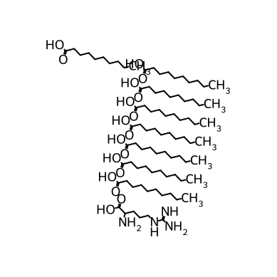 CCCCCCCCCC(=O)O.CCCCCCCCCC(=O)O.CCCCCCCCCC(=O)O.CCCCCCCCCC(=O)O.CCCCCCCCCC(=O)O.CCCCCCCCCC(=O)O.CCCCCCCCCC(=O)O.CCCCCCCCCC(=O)O.N=C(N)NCCCC(N)C(=O)O